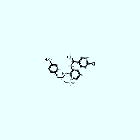 COC[C@H](Cc1ccc(C)cc1)Nc1ncccc1NC(C)c1ccc(Cl)nc1